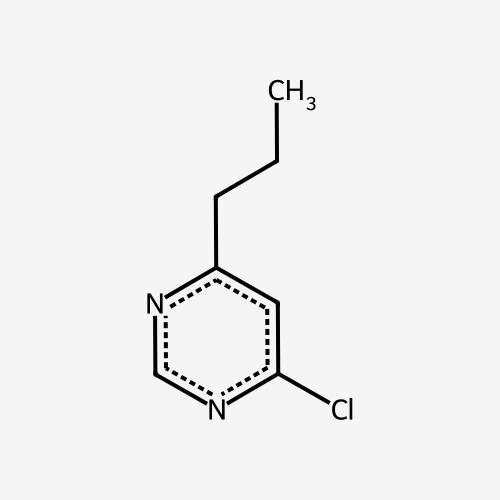 CCCc1cc(Cl)ncn1